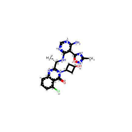 Cc1noc(-c2c(N)ncnc2N[C@@H](C)c2nc3cccc(Cl)c3c(=O)n2C2CC(O)C2)n1